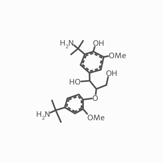 COc1cc(C(C)(C)N)ccc1OC(CO)C(O)c1cc(OC)c(O)c(C(C)(C)N)c1